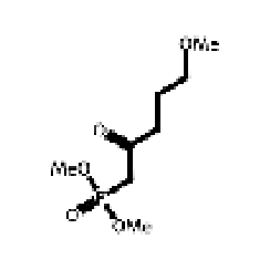 COCCCC(=O)CP(=O)(OC)OC